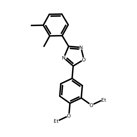 CCOc1ccc(-c2nc(-c3cccc(C)c3C)no2)cc1OCC